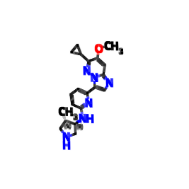 COc1cc2ncc(-c3cccc(N[C@H]4CNC[C@@H]4C)n3)n2nc1C1CC1